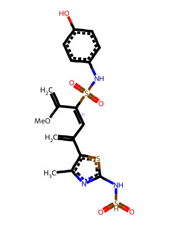 C=C(OC)/C(=C\C(=C)c1sc(N[SH](=O)=O)nc1C)S(=O)(=O)Nc1ccc(O)cc1